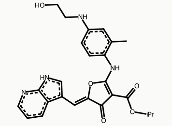 Cc1cc(NCCO)ccc1NC1=C(C(=O)OC(C)C)C(=O)C(=Cc2c[nH]c3ncccc23)O1